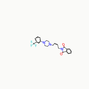 O=C1c2ccccc2C(=O)N1C/C=C\CN1CCN(c2cccc(C(F)(F)F)c2)CC1